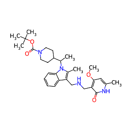 COc1cc(C)[nH]c(=O)c1CNCc1c(C)n(C(C)C2CCN(C(=O)OC(C)(C)C)CC2)c2ccccc12